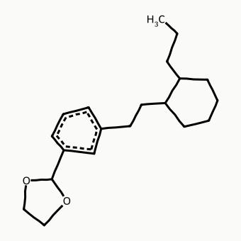 CCCC1CCCCC1CCc1cccc(C2OCCO2)c1